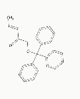 CC=CC(=O)COC(c1ccccc1)(c1ccccc1)c1ccccc1